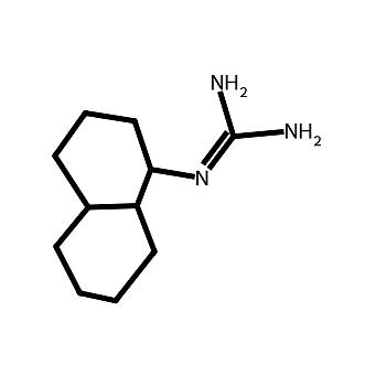 NC(N)=NC1CCCC2CCCCC21